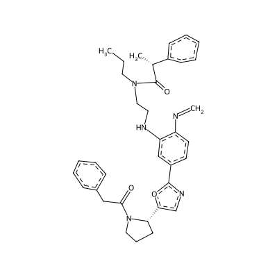 C=Nc1ccc(-c2ncc([C@@H]3CCCN3C(=O)Cc3ccccc3)o2)cc1NCCN(CCC)C(=O)[C@H](C)c1ccccc1